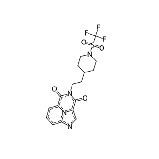 O=c1c2cccc3ncc(c(=O)n1CCC1CCN(S(=O)(=O)C(F)(F)F)CC1)n32